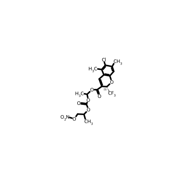 Cc1cc2c(c(C)c1Cl)C=C(C(=O)OC(C)OC(=O)OC(C)CO[N+](=O)[O-])[C@@H](C(F)(F)F)O2